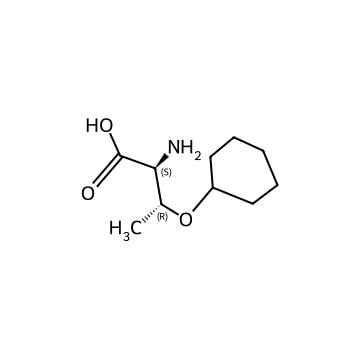 C[C@@H](OC1CCCCC1)[C@H](N)C(=O)O